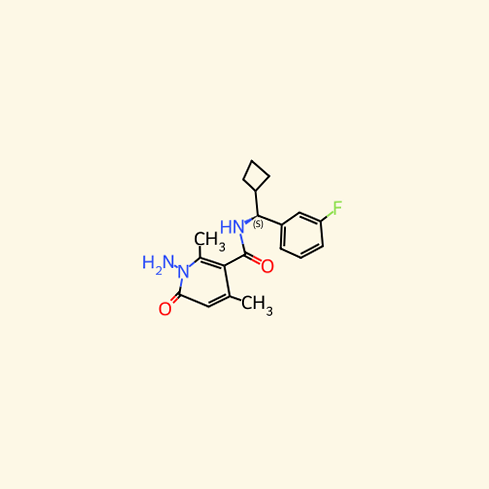 Cc1cc(=O)n(N)c(C)c1C(=O)N[C@H](c1cccc(F)c1)C1CCC1